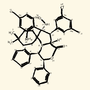 CC1(C)CCC2(CC1)N1[C@H](c3ccccc3)[C@H](c3ccccc3)OC(=O)[C@H]1[C@H](c1cc(F)cc(Cl)c1)[C@]2(NO)c1ccc(Cl)cc1N